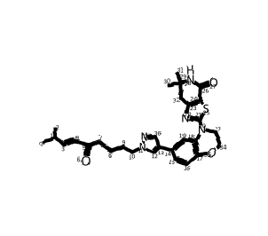 CC(C)/C=C/C(=O)CCCCn1cc(-c2ccc3c(c2)N(c2nc4c(s2)C(=O)NC(C)(C)C4)CCO3)cn1